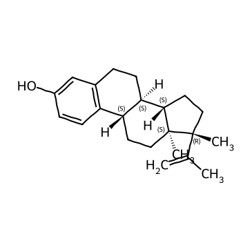 C=C(C)[C@@]1(C)CC[C@H]2[C@@H]3CCc4cc(O)ccc4[C@H]3CC[C@@]21C